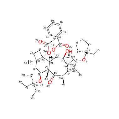 CC[Si](CC)(CC)O[C@H]1C[C@@]2(O)[C@@H](OC(=O)c3ccccc3)[C@@H]3[C@]4(OC(C)=O)CC[C@@H]4C[C@H](O[Si](CC)(CC)CC)[C@@]3(C)C(=O)[C@H](C)C(=C1C)C2(C)C